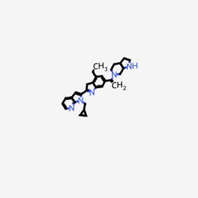 C=C(c1cc(CC)c2c(c1)N=C(c1cc3cccnc3n1CC1CC1)C2)N1CCC2CCNC2C1